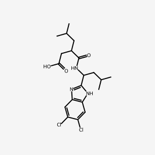 CC(C)CC(CC(=O)O)C(=O)NC(CC(C)C)c1nc2cc(Cl)c(Cl)cc2[nH]1